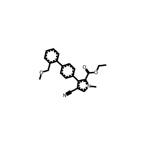 CCOC(=O)c1c(-c2ccc(-c3ccccc3COC)cc2)c(C#N)cn1C